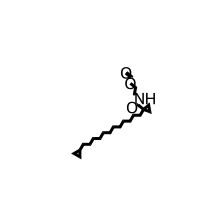 O=COCCNC(=O)C1(CCCCCCCCCCCCC2CC2)CC1